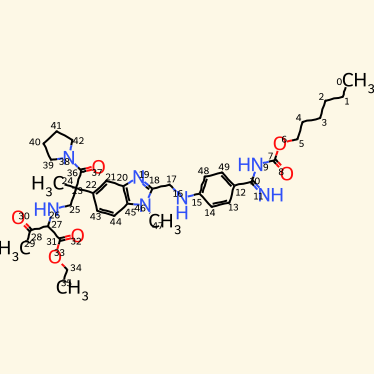 CCCCCCOC(=O)NC(=N)c1ccc(NCc2nc3cc(C(C)(CNC(C(C)=O)C(=O)OCC)C(=O)N4CCCC4)ccc3n2C)cc1